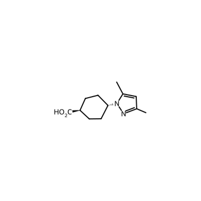 Cc1cc(C)n([C@H]2CC[C@H](C(=O)O)CC2)n1